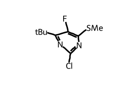 CSc1nc(Cl)nc(C(C)(C)C)c1F